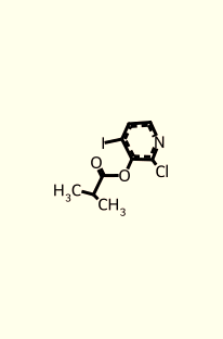 CC(C)C(=O)Oc1c(I)ccnc1Cl